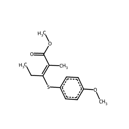 CCC(Sc1ccc(OC)cc1)=C(C)C(=O)OC